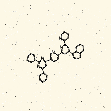 c1ccc(-c2cc(-c3ccc(-c4cc(-c5cccc6ccccc56)cc(-c5ccccn5)n4)nc3)nc(-c3ccccc3)n2)cc1